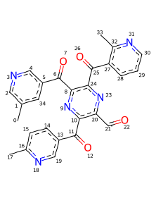 Cc1cncc(C(=O)c2nc(C(=O)c3ccc(C)nc3)c([C]=O)nc2C(=O)c2cccnc2C)c1